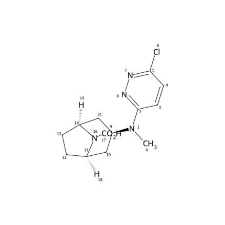 CN(c1ccc(Cl)nn1)[C@H]1C[C@H]2CC[C@@H](C1)N2C(=O)O